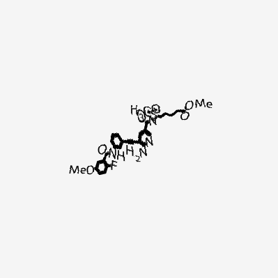 COC(=O)CCCCS(C)(=O)=NC(=O)c1cnc(N)c(C#Cc2cccc(NC(=O)c3cc(OC)ccc3F)c2)c1